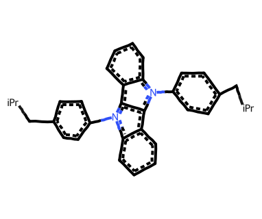 CC(C)Cc1ccc(-n2c3ccccc3c3c2c2ccccc2n3-c2ccc(CC(C)C)cc2)cc1